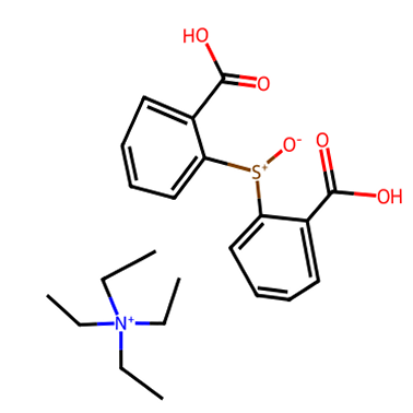 CC[N+](CC)(CC)CC.O=C(O)c1ccccc1[S+]([O-])c1ccccc1C(=O)O